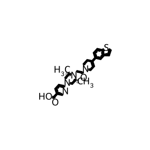 C[C@@H]1CN(c2ccc(C(=O)O)cn2)C[C@H](C)N1CC(=O)N1CC=C(c2ccc3sccc3c2)CC1